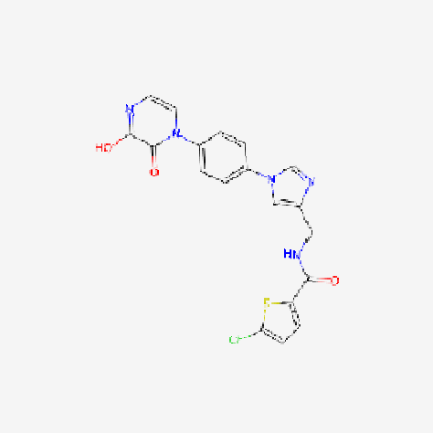 O=C(NCc1cn(-c2ccc(-n3ccnc(O)c3=O)cc2)cn1)c1ccc(Cl)s1